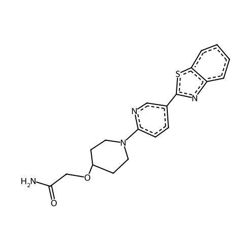 NC(=O)COC1CCN(c2ccc(-c3nc4ccccc4s3)cn2)CC1